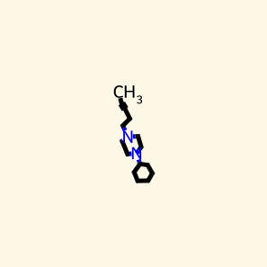 CC#CCCN1CCN(C2CCCCC2)CC1